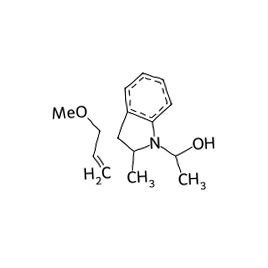 C=CCOC.CC(O)N1c2ccccc2CC1C